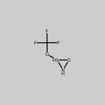 FC(F)(F)O[SH]1NO1